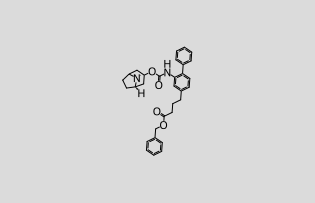 CN1C2CC[C@H]1CC(OC(=O)Nc1cc(CCCC(=O)OCc3ccccc3)ccc1-c1ccccc1)C2